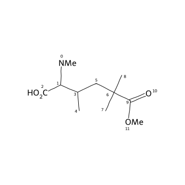 CNC(C(=O)O)C(C)CC(C)(C)C(=O)OC